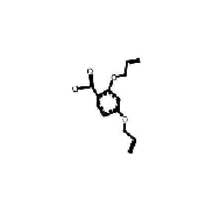 C=CCOc1ccc(C(=O)Cl)c(OCC=C)c1